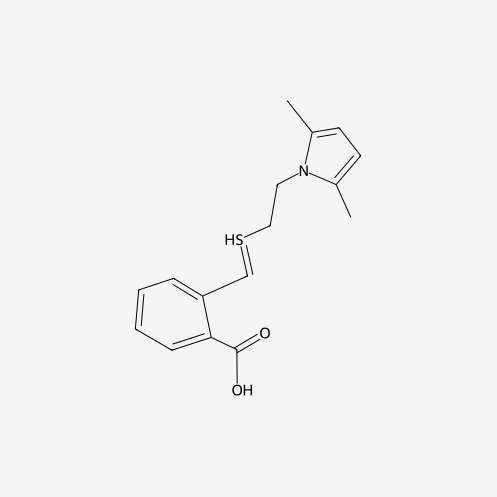 Cc1ccc(C)n1CC[SH]=Cc1ccccc1C(=O)O